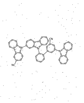 N#Cc1cc(-c2ccccc2-n2c3ccccc3c3ccc(-n4c5ccccc5c5cc(C#N)ccc54)cc32)cc(-n2c3ccccc3c3ccccc32)c1